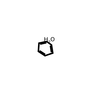 O.c1ccccc1